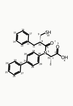 C[C@@H](C(=O)O)N(C(=O)[C@@H](CS)Cc1ccccc1)c1ccc(-c2ccccc2)cc1